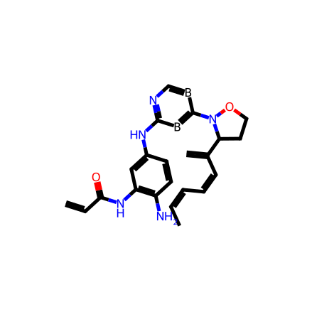 C=CC(=O)Nc1cc(Nc2bc(N3OCCC3C(=C)/C=C\C=C/C)bcn2)ccc1N